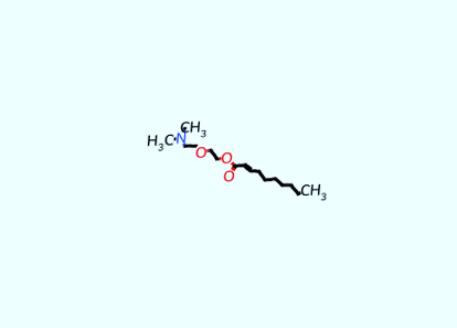 CCCCCCC/C=C/C(=O)OCCOCCN(C)C